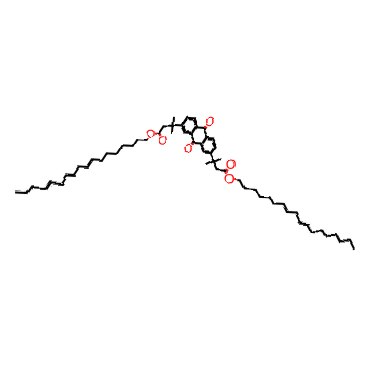 CCCCCCCCCCCCCCCCCCOC(=O)CC(C)(C)c1ccc2c(c1)C(=O)c1cc(C(C)(C)CC(=O)OCCCCCCCCCCCCCCCCCC)ccc1C2=O